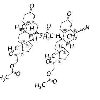 CC(=O)OCC(=O)[C@H]1CC[C@H]2[C@@H]3C[C@H](C#N)C4=CC(=O)CC[C@]4(C)[C@H]3CC[C@]12C.CC(=O)OCC(=O)[C@H]1CC[C@H]2[C@@H]3[C@H](SC(C)=O)CC4=CC(=O)CC[C@]4(C)[C@H]3CC[C@]12C